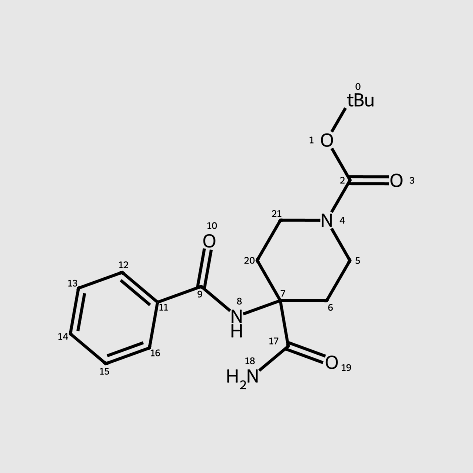 CC(C)(C)OC(=O)N1CCC(NC(=O)c2ccccc2)(C(N)=O)CC1